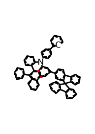 c1ccc(-c2ccc(N(c3cccc(-c4ccc5c(c4)C4(c6ccccc6-c6ccccc64)c4ccccc4-5)c3)c3ccccc3-c3ccc4ccccc4c3-c3ccccc3)cc2)cc1